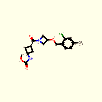 O=C1N[C@]2(CO1)C[C@H](C(=O)N1CC(OCc3ccc(C(F)(F)F)cc3Cl)C1)C2